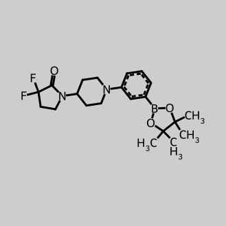 CC1(C)OB(c2cccc(N3CCC(N4CCC(F)(F)C4=O)CC3)c2)OC1(C)C